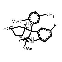 CNC(=O)[C@@H]1C[C@@H](O)C[N+]1(C)C1(c2cc(C)ccc2OC)C(=O)Nc2ccc(Br)cc21